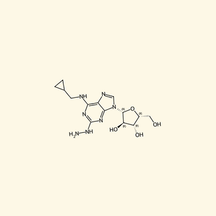 NNc1nc(NCC2CC2)c2ncn([C@@H]3O[C@H](CO)[C@H](O)[C@H]3O)c2n1